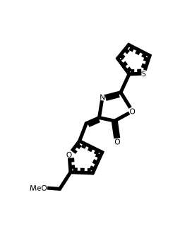 COCc1ccc(C=C2N=C(c3cccs3)OC2=O)o1